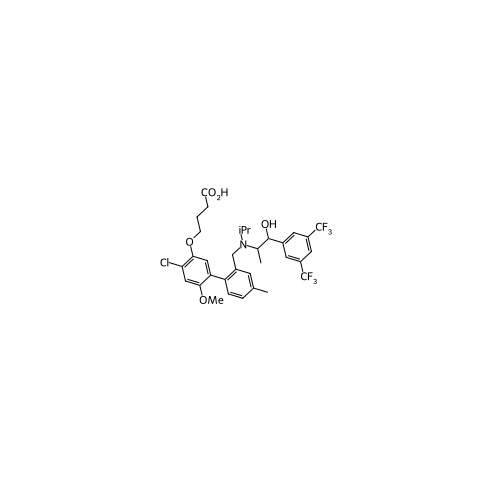 COc1cc(Cl)c(OCCCC(=O)O)cc1-c1ccc(C)cc1CN(C(C)C)C(C)C(O)c1cc(C(F)(F)F)cc(C(F)(F)F)c1